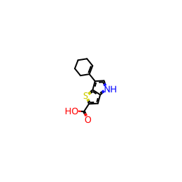 O=C(O)c1cc2[nH]cc(C3=CCCCC3)c2s1